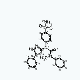 CN(C(=S)N(c1ccc(S(N)(=O)=O)cc1)c1cc(-c2ccccc2)[nH]n1)c1ccccc1